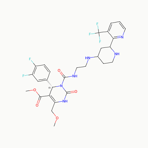 COCC1=C(C(=O)OC)[C@H](c2ccc(F)c(F)c2)N(C(=O)NCCNC2CCNC(c3ncccc3C(F)(F)F)C2)C(=O)N1